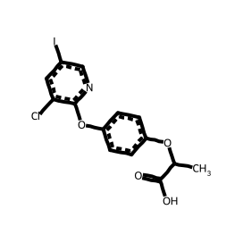 CC(Oc1ccc(Oc2ncc(I)cc2Cl)cc1)C(=O)O